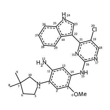 COc1cc(N2CCC(C)(C)C2)c(N)cc1Nc1ncc(Cl)c(-c2c[nH]c3ccccc23)n1